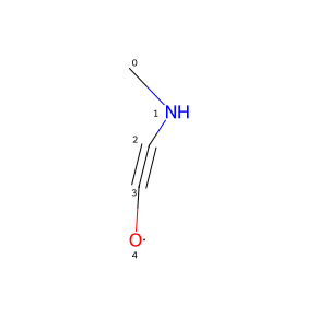 CNC#C[O]